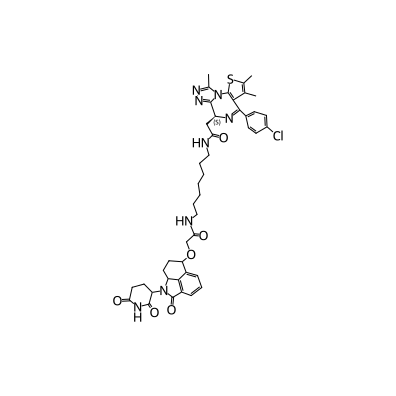 Cc1sc2c(c1C)C(c1ccc(Cl)cc1)=N[C@@H](CC(=O)NCCCCCCCNC(=O)COC1CCC3c4c(cccc41)C(=O)N3C1CCC(=O)NC1=O)c1nnc(C)n1-2